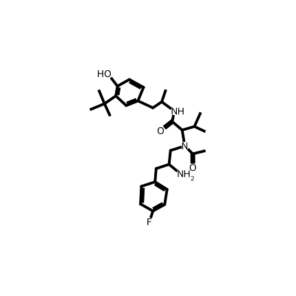 CC(=O)N(CC(N)Cc1ccc(F)cc1)C(C(=O)NC(C)Cc1ccc(O)c(C(C)(C)C)c1)C(C)C